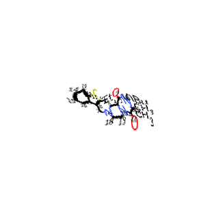 CCCCN1C(=O)C2CN(Cc3c(CC)sc4ccccc34)CCN2C(=O)C1(C)C